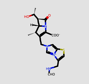 C[C@@H](O)[C@H]1C(=O)N2C(C(=O)[O-])=C(Cn3cc4scc(CNC=O)[n+]4c3)[C@H](C)[C@H]12